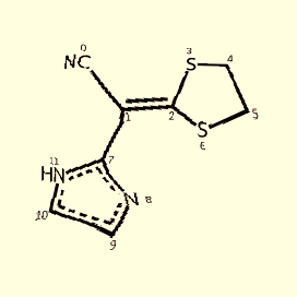 N#CC(=C1SCCS1)c1ncc[nH]1